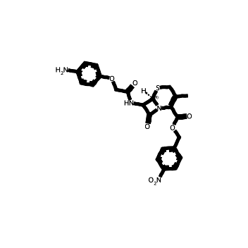 CC1=C(C(=O)OCc2ccc([N+](=O)[O-])cc2)N2C(=O)C(NC(=O)COc3ccc(N)cc3)[C@H]2SC1